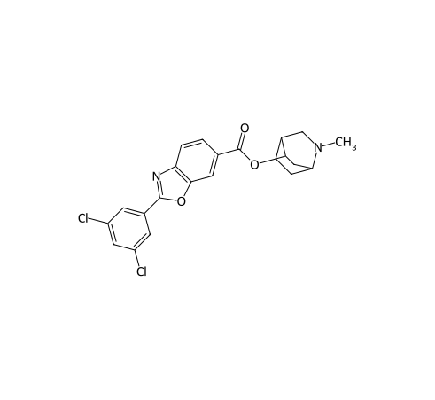 CN1CC2CCC1CC2OC(=O)c1ccc2nc(-c3cc(Cl)cc(Cl)c3)oc2c1